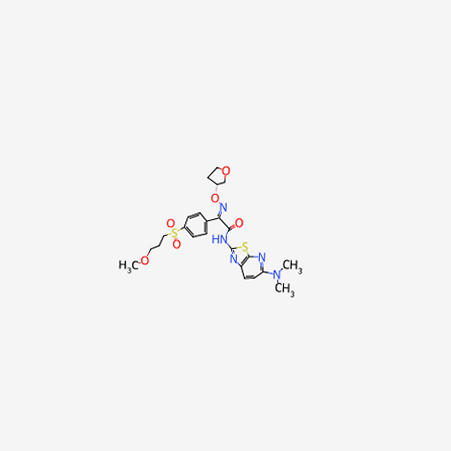 COCCCS(=O)(=O)c1ccc(/C(=N\O[C@@H]2CCOC2)C(=O)Nc2nc3ccc(N(C)C)nc3s2)cc1